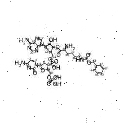 Nc1ccn([C@H]2C[C@H](P(=O)(O)OC[C@H]3O[C@@H](n4cnc5c(N)ncnc54)[C@H](O)[C@@H]3OC(=O)[C@@H](N)CCCCNC(=O)OCc3ccccc3)[C@@H](COP(=O)(O)O)O2)c(=O)n1